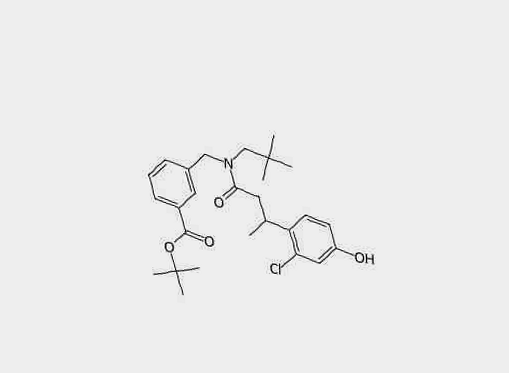 CC(CC(=O)N(Cc1cccc(C(=O)OC(C)(C)C)c1)CC(C)(C)C)c1ccc(O)cc1Cl